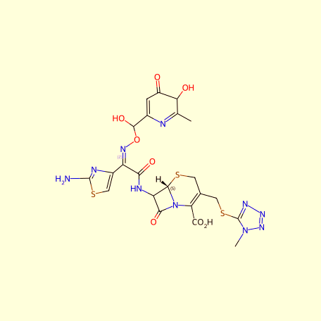 CC1=NC(C(O)O/N=C(\C(=O)NC2C(=O)N3C(C(=O)O)=C(CSc4nnnn4C)CS[C@@H]23)c2csc(N)n2)=CC(=O)C1O